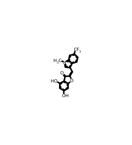 Cn1cc(/C=C2/Oc3cc(O)cc(O)c3C2=O)c2ccc(C(F)(F)F)cc21